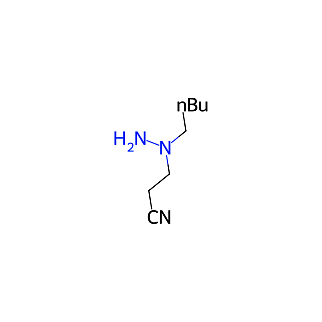 CCCCCN(N)CCC#N